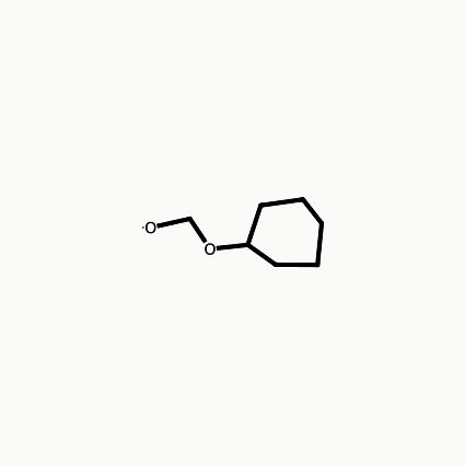 [O]COC1CCCCC1